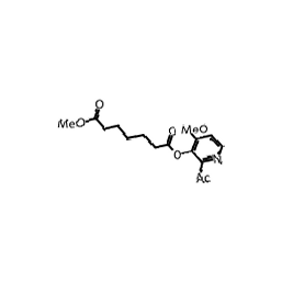 COC(=O)CCCCCC(=O)Oc1c(OC)ccnc1C(C)=O